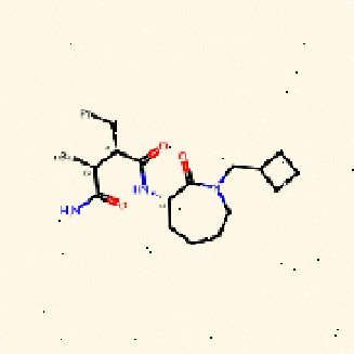 CCCC[C@H](C(N)=O)[C@@H](CC(C)C)C(=O)N[C@H]1CCCCN(CC2CCC2)C1=O